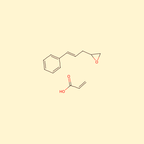 C(=Cc1ccccc1)CC1CO1.C=CC(=O)O